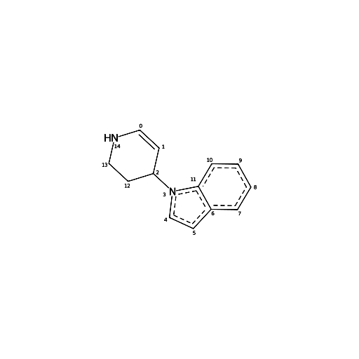 C1=CC(n2ccc3ccccc32)CCN1